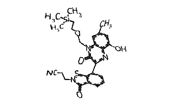 Cc1cc(O)c2nc(-c3cccc4c(=O)n(CCC#N)sc34)c(=O)n(COCC[Si](C)(C)C)c2c1